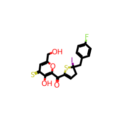 O=C(C1=CCC(I)(Cc2ccc(F)cc2)S1)c1oc(CO)cc(=S)c1O